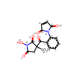 O=C1CC(C(=O)c2ccccc2N2C(=O)C=CC2=O)(S(=O)(=O)O)C(=O)N1O